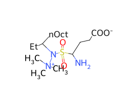 CCCCCCCCC(CC)N([N+](C)(C)C)S(=O)(=O)C(N)CCC(=O)[O-]